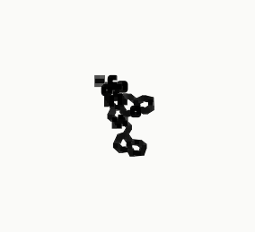 CS(=O)(=O)c1nc2cnn(Cc3cccc4ccccc34)c(=O)c2n1Cc1ccccc1